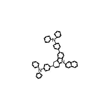 C1=CC(c2ccc(N(c3ccccc3)c3ccccc3)cc2)Cc2c1n(-c1ccc3ccccc3c1)c1ccc(-c3ccc(N(c4ccccc4)c4ccccc4)cc3)cc21